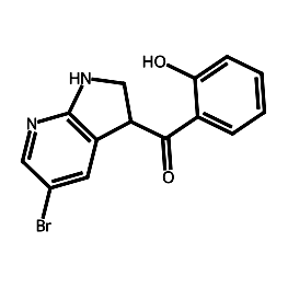 O=C(c1ccccc1O)C1CNc2ncc(Br)cc21